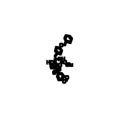 CC[C@H](C)CN(C[C@@H](O)[C@H](Cc1ccc(OCc2ccccc2)cc1)NC(=O)OC(C)(C)C)S(=O)(=O)c1ccc2c(c1)OCO2